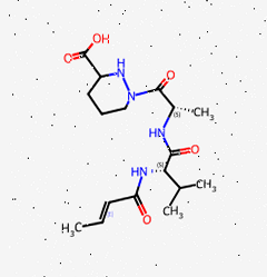 C/C=C/C(=O)N[C@H](C(=O)N[C@@H](C)C(=O)N1CCCC(C(=O)O)N1)C(C)C